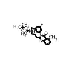 Cc1cccc2nc(CCCNC(=O)OC(C)(C)C)n(-c3cc(F)cc(F)c3)c(=O)c12